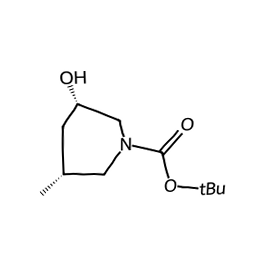 C[C@@H]1C[C@H](O)CN(C(=O)OC(C)(C)C)C1